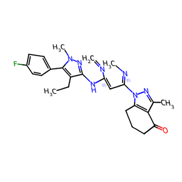 C=N/C(=C\C(=N/C)n1nc(C)c2c1CCCC2=O)Nc1nn(C)c(-c2ccc(F)cc2)c1CC